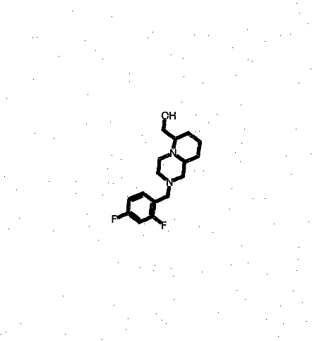 OCC1CCCC2CN(Cc3ccc(F)cc3F)CCN12